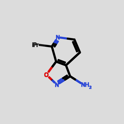 CC(C)c1nccc2c(N)noc12